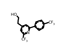 OCCc1cc(-c2ccc(C(F)(F)F)cc2)nc(C(F)(F)F)c1